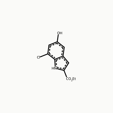 CCOC(=O)c1cc2cc(O)cc(Cl)c2[nH]1